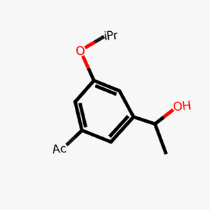 CC(=O)c1cc(OC(C)C)cc(C(C)O)c1